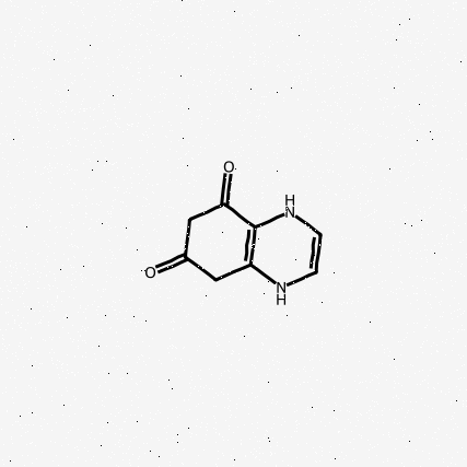 O=C1CC(=O)C2=C(C1)NC=CN2